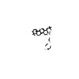 CC1(C)CC[C@]2(C(=O)NCCCN3CCC(=O)[S+]([O-])CC3)CC[C@]3(C)C(=CC[C@@H]4C5(C)CC[C@H](O)C(C)(C)[C@@H]5CC[C@]43C)[C@@H]2C1